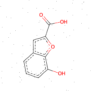 O=C(O)c1cc2cccc(O)c2o1